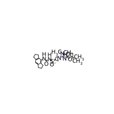 CN(C)/C(=N\C(=O)OC(C)(C)C)N1CC([S+]([O-])NC(=O)Nc2c3c(cc4c2CCC4)CCC3)C1